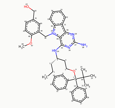 CCC[C@@H](CCO[Si](c1ccccc1)(c1ccccc1)C(C)(C)C)Nc1nc(N)nc2c3ccccc3n(Cc3cc(CO)ccc3OC)c12